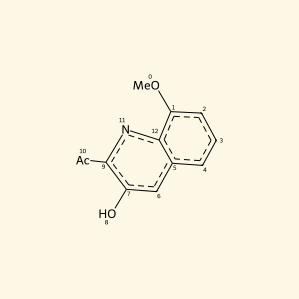 COc1cccc2cc(O)c(C(C)=O)nc12